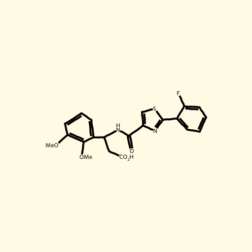 COc1cccc(C(CC(=O)O)NC(=O)c2csc(-c3ccccc3F)n2)c1OC